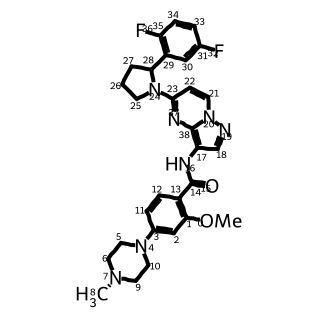 COc1cc(N2CCN(C)CC2)ccc1C(=O)Nc1cnn2ccc(N3CCCC3c3cc(F)ccc3F)nc12